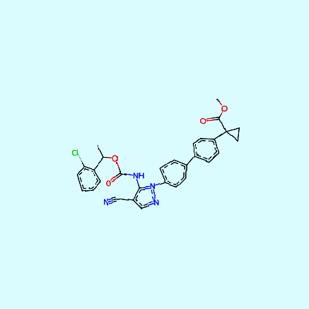 COC(=O)C1(c2ccc(-c3ccc(-n4ncc(C#N)c4NC(=O)OC(C)c4ccccc4Cl)cc3)cc2)CC1